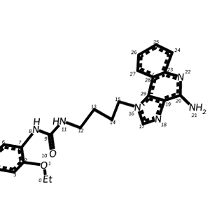 CCOc1ccccc1NC(=O)NCCCCn1cnc2c(N)nc3ccccc3c21